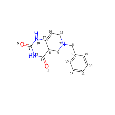 O=C1NC(=O)C2CN(Cc3ccccc3)CC=C2N1